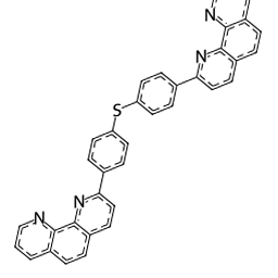 c1cnc2c(c1)ccc1ccc(-c3ccc(Sc4ccc(-c5ccc6ccc7cccnc7c6n5)cc4)cc3)nc12